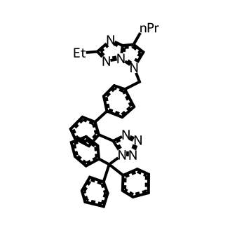 CCCc1cn(Cc2ccc(-c3ccccc3-c3nnnn3C(c3ccccc3)(c3ccccc3)c3ccccc3)cc2)n2nc(CC)nc12